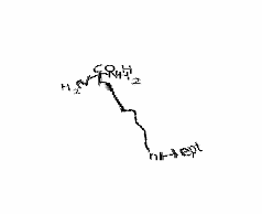 CCCCCCCCCCCCCCC(N)(N)C(=O)O